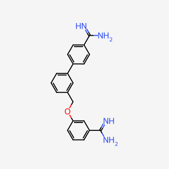 N=C(N)c1ccc(-c2cccc(COc3cccc(C(=N)N)c3)c2)cc1